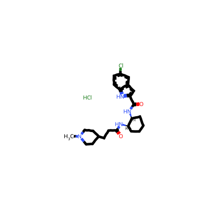 CN1CCC(CCC(=O)N[C@@H]2CCCC[C@@H]2NC(=O)c2cc3cc(Cl)ccc3[nH]2)CC1.Cl